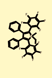 CC[Si]1(C)C(c2c(F)c(F)c(F)c(F)c2F)=C(c2ccccc2)C(c2ccccc2)=C1c1c(F)c(F)c(F)c(F)c1F